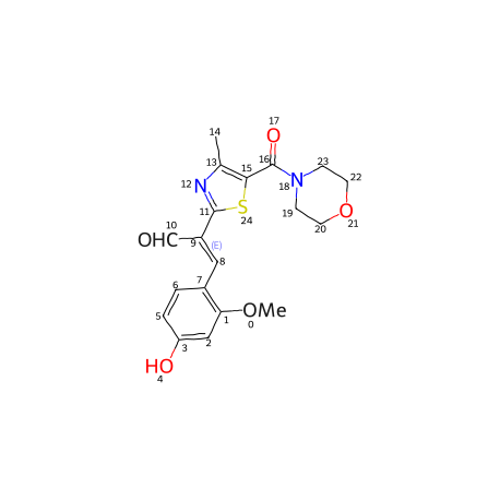 COc1cc(O)ccc1/C=C(\C=O)c1nc(C)c(C(=O)N2CCOCC2)s1